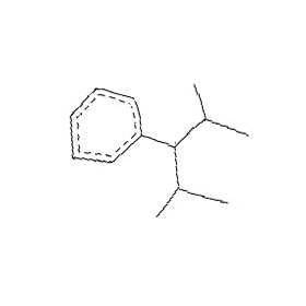 CC(C)[C](c1ccccc1)C(C)C